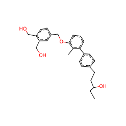 CCC(O)CCc1ccc(-c2cccc(OCc3ccc(CO)c(CO)c3)c2C)cc1